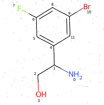 NC(CO)c1cc(F)cc(Br)c1